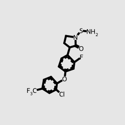 NSN1CCC(c2ccc(Oc3ccc(C(F)(F)F)cc3Cl)cc2F)C1=O